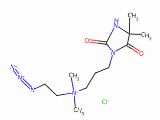 CC1(C)NC(=O)N(CCC[N+](C)(C)CCN=[N+]=[N-])C1=O.[Cl-]